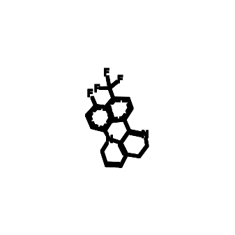 Fc1ccc(N2CC=CC3=C2C(c2ccc(C(F)(F)F)cc2)=NCC3)cc1